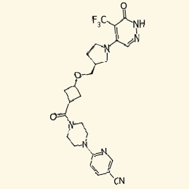 N#Cc1ccc(N2CCN(C(=O)C3CC(OC[C@H]4CCN(c5cn[nH]c(=O)c5C(F)(F)F)C4)C3)CC2)nc1